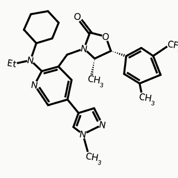 CCN(c1ncc(-c2cnn(C)c2)cc1CN1C(=O)O[C@H](c2cc(C)cc(C(F)(F)F)c2)[C@@H]1C)C1CCCCC1